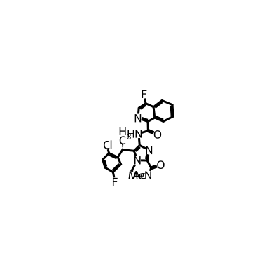 CNC(=O)c1nc(NC(=O)c2ncc(F)c3ccccc23)c([C@@H](C)c2cc(F)ccc2Cl)n1CC(C)=O